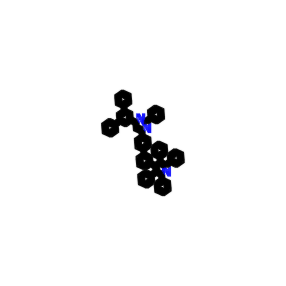 c1ccc(-c2cc(-c3ccccc3)cc(-c3cc(-c4ccc(-c5cccc(-c6c(-c7ccccc7)c(-c7ccccc7)nc(-c7ccccc7)c6-c6ccccc6)c5)cc4)nc(-c4ccccc4)n3)c2)cc1